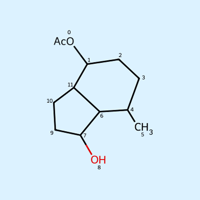 CC(=O)OC1CCC(C)C2C(O)CCC12